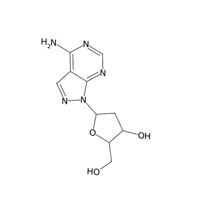 Nc1ncnc2c1cnn2C1CC(O)C(CO)O1